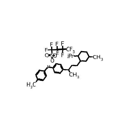 Cc1ccc([I+]c2ccc(C(C)CCC3CC(C)CCC3C(C)C)cc2)cc1.O=S(=O)([O-])C(F)(F)C(F)(F)C(F)(F)C(F)(F)F